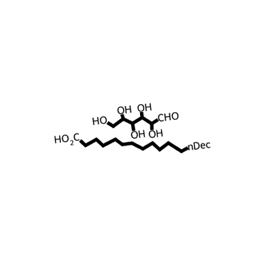 CCCCCCCCCCCCCCCCCCCCCC(=O)O.O=CC(O)C(O)C(O)C(O)CO